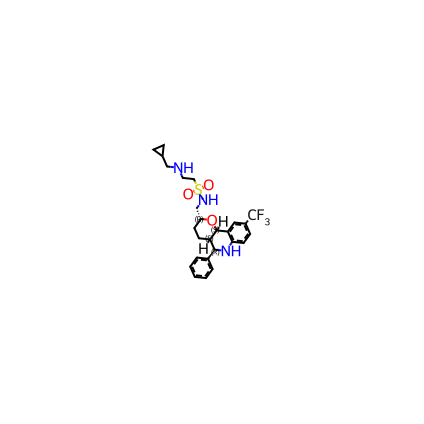 O=S(=O)(CCNCC1CC1)NC[C@H]1CC[C@@H]2[C@H](O1)c1cc(C(F)(F)F)ccc1N[C@H]2c1ccccc1